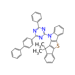 CC1(C)c2ccccc2-c2sc3c4ccccc4n(-c4nc(-c5ccccc5)nc(-c5ccc(-c6ccccc6)cc5)n4)c3c21